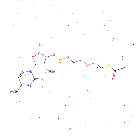 CC[C@H]1O[C@@H](n2ccc(NC(C)=O)nc2=O)[C@@H](OC)C1OPOCCOCCSC(=O)C(C)C